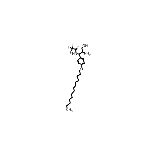 CCCCCCCCCCCCCCOc1ccc(C(NC(=O)C(F)(F)F)C(N)CO)cc1